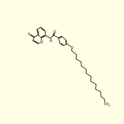 CCCCCCCCCCCCCCCOc1ccc(C(=O)Nc2cccc3c(=O)c[c]oc23)cc1